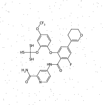 NC(=O)c1cc(NC(=O)c2c(F)cc(C3=COCCC3)cc2Oc2ccc(OC(F)(F)F)cc2OC(S)(S)S)ccn1